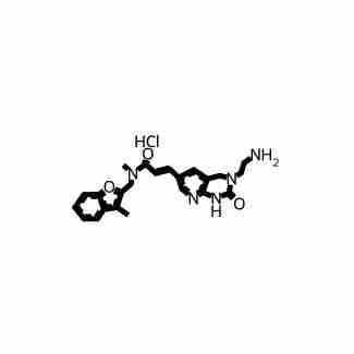 Cc1c(CN(C)C(=O)/C=C/c2cnc3c(c2)CN(CCN)C(=O)N3)oc2ccccc12.Cl